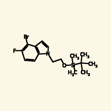 CC(C)(C)[Si](C)(C)OCCn1ccc2c(Br)c(F)ccc21